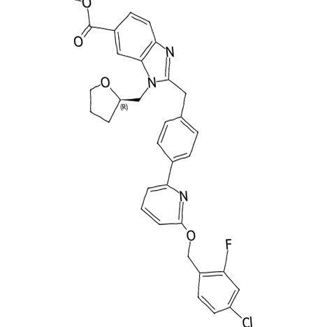 COC(=O)c1ccc2nc(Cc3ccc(-c4cccc(OCc5ccc(Cl)cc5F)n4)cc3)n(C[C@H]3CCCO3)c2c1